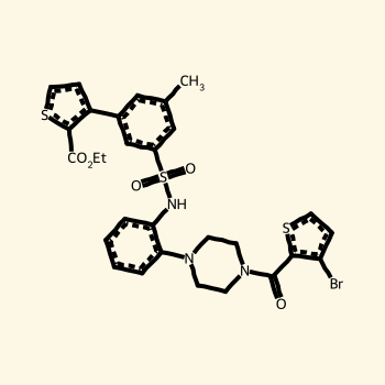 CCOC(=O)c1sccc1-c1cc(C)cc(S(=O)(=O)Nc2ccccc2N2CCN(C(=O)c3sccc3Br)CC2)c1